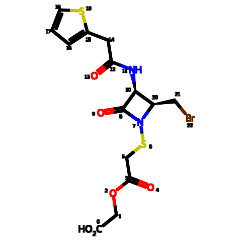 O=C(O)COC(=O)CSN1C(=O)[C@@H](NC(=O)Cc2cccs2)[C@H]1CBr